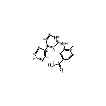 Cc1ccc(C(N)=O)cc1Nc1nccc(-c2ccncc2)n1